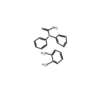 NC(=S)N(c1ccccc1)c1ccccc1.Nc1ccccc1N